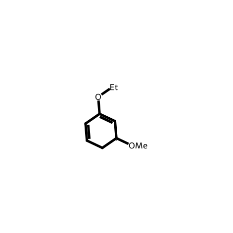 CCOC1=C[C](OC)CC=C1